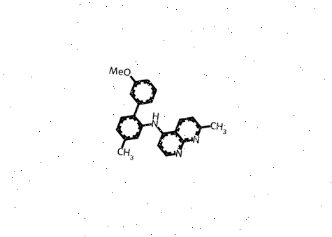 COc1cccc(-c2ccc(C)cc2Nc2ccnc3nc(C)ccc23)c1